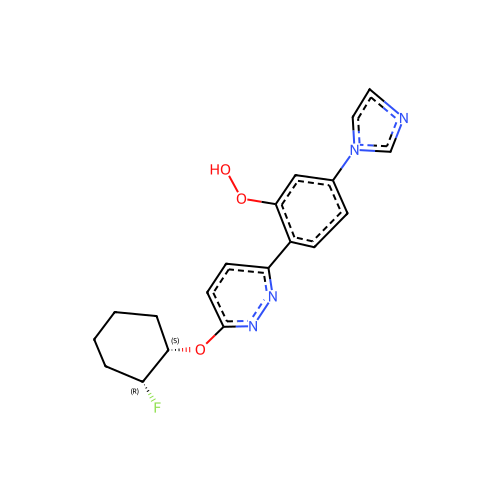 OOc1cc(-n2ccnc2)ccc1-c1ccc(O[C@H]2CCCC[C@H]2F)nn1